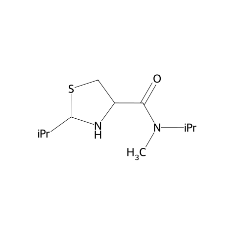 CC(C)C1NC(C(=O)N(C)C(C)C)CS1